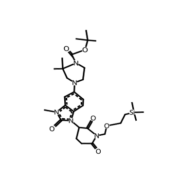 Cn1c(=O)n(C2CCC(=O)N(COCC[Si](C)(C)C)C2=O)c2ccc(N3CCN(C(=O)OC(C)(C)C)C(C)(C)C3)cc21